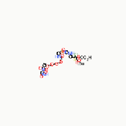 CC(C)(C)OC(=O)c1sc(-c2cccc(NC3CCN(S(=O)(=O)Cc4cccc(NC(=O)CCOCCOCCOCCOc5cccc6c5C(=O)N(C5CCC(=O)NC5=O)C6=O)c4)CC3)c2)c(Cl)c1OCC(=O)O